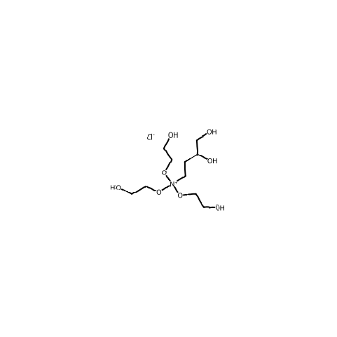 OCCO[N+](CCC(O)CO)(OCCO)OCCO.[Cl-]